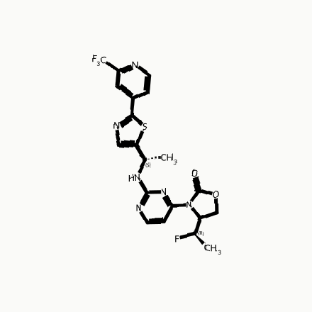 C[C@H](Nc1nccc(N2C(=O)OCC2[C@@H](C)F)n1)c1cnc(-c2ccnc(C(F)(F)F)c2)s1